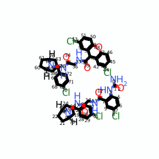 NC(=O)Nc1ccc(Cl)cc1C(=O)NCC(=O)N[C@H]1C[C@H]2CC[C@@H](C1)N2Cc1ccc(Cl)cc1.O=C(CNC(=O)C1c2cc(Cl)ccc2Oc2ccc(Cl)cc21)N[C@H]1C[C@H]2CC[C@@H](C1)N2Cc1ccc(Cl)cc1